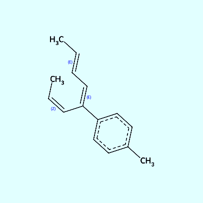 C\C=C/C(=C\C=C\C)c1ccc(C)cc1